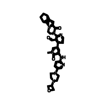 Cn1cc(-c2ccnc(N3CCn4c(cc5c4C4CCC5C4)C3=O)c2C=O)cc(Nc2ccc(N3CCN(C4COC4)CC3)cn2)c1=O